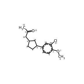 COc1ccc(C2CCC(CC(C)=O)C2)cc1Cl